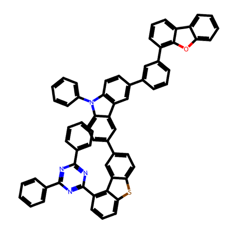 c1ccc(-c2nc(-c3ccccc3)nc(-c3cccc4sc5ccc(-c6ccc7c(c6)c6cc(-c8cccc(-c9cccc%10c9oc9ccccc9%10)c8)ccc6n7-c6ccccc6)cc5c34)n2)cc1